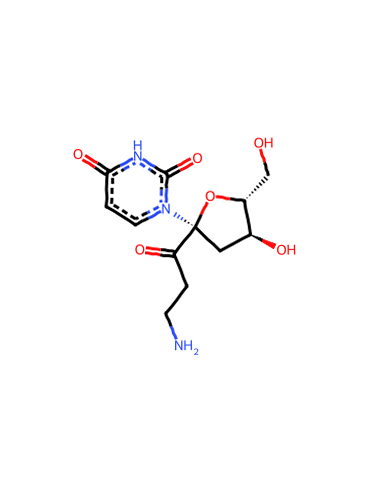 NCCC(=O)[C@]1(n2ccc(=O)[nH]c2=O)C[C@H](O)[C@@H](CO)O1